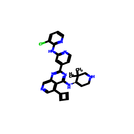 CC1(C)CNCC[C@@H]1Nc1nc(-c2ccnc(Nc3ncccc3Cl)c2)nc2cncc(C3=CC=C3)c12